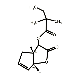 CCC(C)(C)C(=O)OC1C(=O)O[C@@H]2C=CC[C@H]12